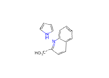 O=C(O)c1ccc2ccccc2n1.c1cc[nH]c1